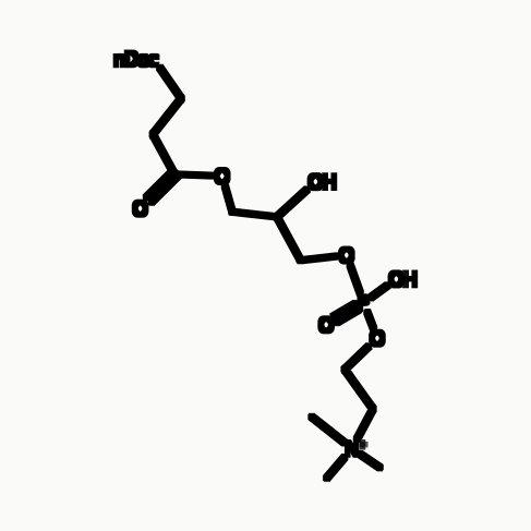 CCCCCCCCCCCCC(=O)OCC(O)COP(=O)(O)OCC[N+](C)(C)C